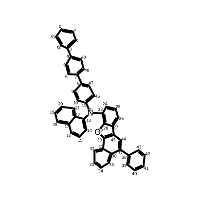 c1ccc(-c2ccc(-c3ccc(N(c4cccc5ccccc45)c4cccc5c4oc4c6ccccc6c(-c6ccccc6)cc54)cc3)cc2)cc1